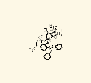 C[C@H]1CC[C@]2(Cc3nc(Cl)c([Si](C)(C)C)c(Cl)c3CO2)c2c1ccc(N(Cc1ccccc1)Cc1ccccc1)c2Br